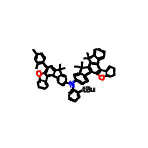 Cc1ccc(-c2cc3c(c4c2oc2ccccc24)-c2ccc(N(c4ccc5c(c4)C(C)(C)c4c6c(c7c(oc8ccccc87)c4-5)-c4ccccc4C6(C)C)c4ccccc4C(C)(C)C)cc2C3(C)C)c(C)c1